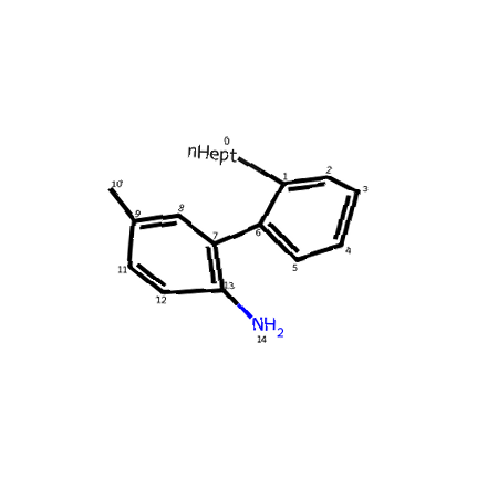 CCCCCCCc1ccccc1-c1cc(C)ccc1N